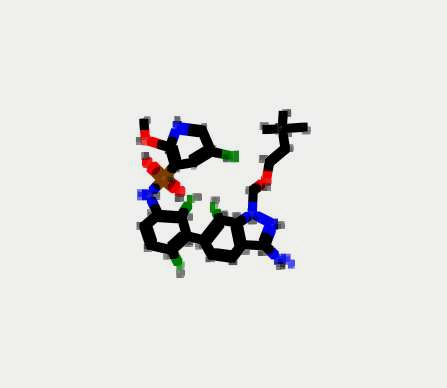 COc1ncc(Cl)cc1S(=O)(=O)Nc1ccc(F)c(-c2ccc3c(N)nn(COCC[Si](C)(C)C)c3c2F)c1F